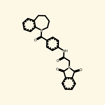 O=C(CN1C(=O)c2ccccc2C1=O)Nc1ccc(C(=O)N2CCCCc3ccccc32)cc1